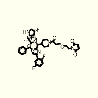 C[C@H](O)C(=O)N(C[C@@H]1CNC[C@@H]1F)[C@@H](c1nc(-c2cc(F)ccc2F)cn1Cc1ccccc1)C1CCN(C(=O)CCOCCN2C(=O)C=CC2=O)CC1